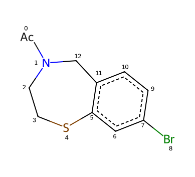 CC(=O)N1CCSc2cc(Br)ccc2C1